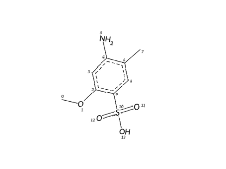 COc1cc(N)c(C)cc1S(=O)(=O)O